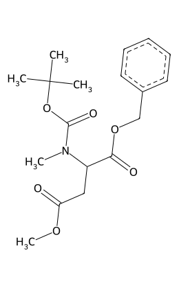 COC(=O)CC(C(=O)OCc1ccccc1)N(C)C(=O)OC(C)(C)C